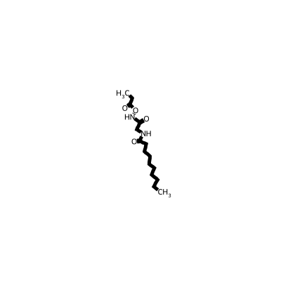 CCCCCCCCCC(=O)NCC(=O)NOC(=O)CC